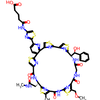 CNC(=O)C[C@@H]1NC(=O)c2csc(n2)-c2ccc(-c3nc(NC(=O)CCCC(=O)O)cs3)nc2-c2csc(n2)-c2csc(n2)[C@H]([C@@H](O)c2ccccc2)NC(=O)CNC(=O)c2nc(sc2COC)NC(=O)c2nc1sc2C